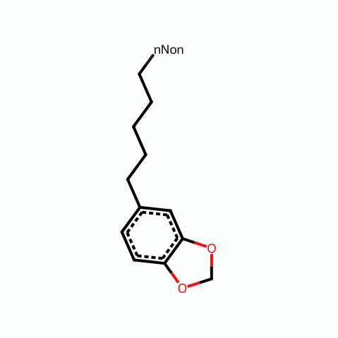 CCCCCCCCCCCCCCc1ccc2c(c1)OCO2